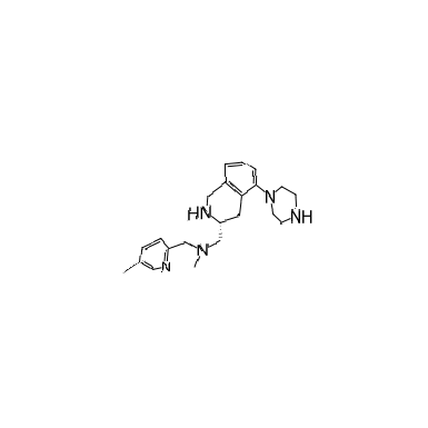 Cc1ccc(CN(C)C[C@H]2Cc3c(cccc3N3CCNCC3)CN2)nc1